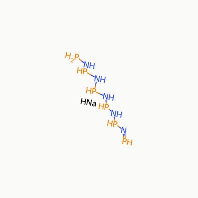 P=NPNPNPNPNP.[NaH]